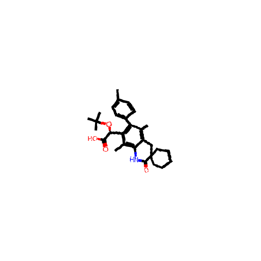 Cc1ccc(-c2c(C)c3c(c(C)c2[C@H](OC(C)(C)C)C(=O)O)NC(=O)C2(CCCCC2)C3)cc1